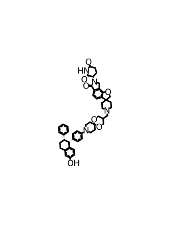 O=C1CC[C@H](N2Cc3c(ccc4c3OCC43CCN(CC4COC5(CCN(c6ccc([C@@H]7c8ccc(O)cc8CC[C@@H]7c7ccccc7)cc6)CC5)OC4)CC3)C2=O)C(=O)N1